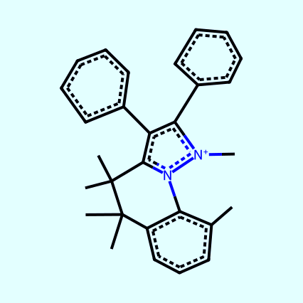 Cc1cccc2c1-n1c(c(-c3ccccc3)c(-c3ccccc3)[n+]1C)C(C)(C)C2(C)C